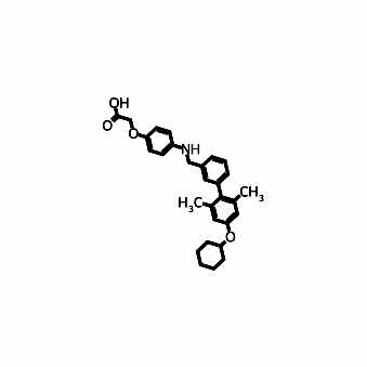 Cc1cc(OC2CCCCC2)cc(C)c1-c1cccc(CNc2ccc(OCC(=O)O)cc2)c1